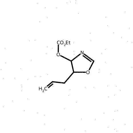 C=CCC1OC=NC1OC(=O)OCC